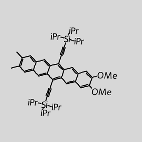 COc1cc2cc3c(C#C[Si](C(C)C)(C(C)C)C(C)C)c4cc5cc(C)c(C)cc5cc4c(C#C[Si](C(C)C)(C(C)C)C(C)C)c3cc2cc1OC